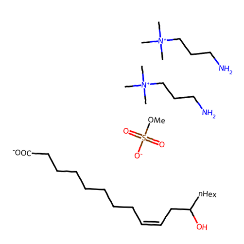 CCCCCCC(O)C/C=C\CCCCCCCC(=O)[O-].COS(=O)(=O)[O-].C[N+](C)(C)CCCN.C[N+](C)(C)CCCN